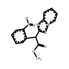 COC(=O)C(c1nc2ccccn2n1)c1ccccc1[N+](=O)[O-]